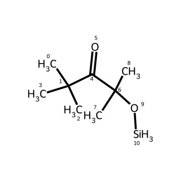 CC(C)(C)C(=O)C(C)(C)O[SiH3]